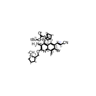 CN1CCCC1COc1nc2c(F)c(Br)c(/C=C/C#N)cc2c(NC2C3CC2N(C(=O)OC(C)(C)C)C3)c1N